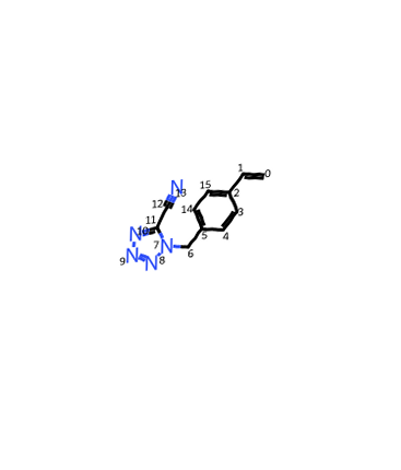 C=Cc1ccc(Cn2nnnc2C#N)cc1